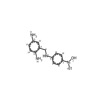 CCN(O)c1ccc(NCc2cc(N)ccc2N)cc1